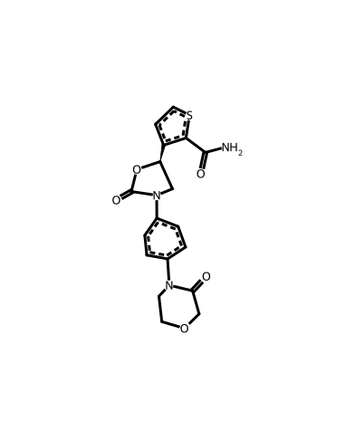 NC(=O)c1sccc1[C@H]1CN(c2ccc(N3CCOCC3=O)cc2)C(=O)O1